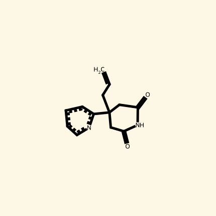 C=CCC1(c2ccccn2)CC(=O)NC(=O)C1